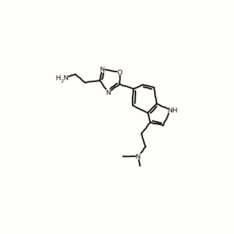 CN(C)CCc1c[nH]c2ccc(-c3nc(CCN)no3)cc12